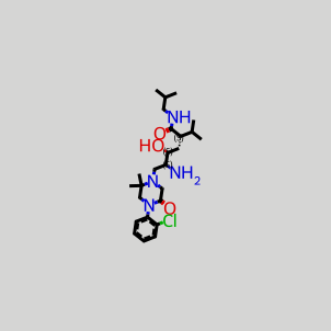 CC(C)CNC(=O)[C@@H](C[C@H](O)[C@@H](N)CN1CC(=O)N(c2ccccc2Cl)CC1(C)C)C(C)C